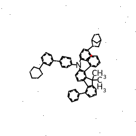 CC1(C)c2cccc(-c3ccccc3)c2-c2ccc(N(c3ccc(-c4cccc(C5CCCCC5)c4)cc3)c3ccc(C4CC5CCC4C5)cc3)c(-c3ccccc3)c21